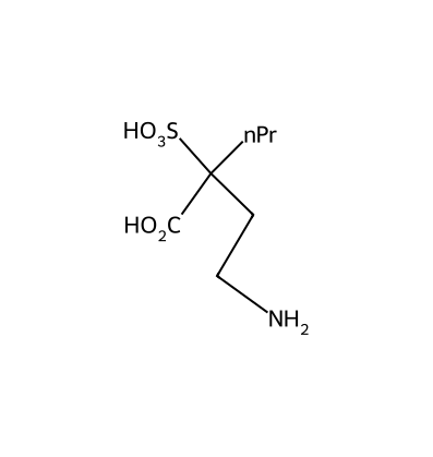 CCCC(CCN)(C(=O)O)S(=O)(=O)O